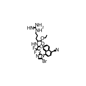 CCOC(=O)C(CCCNC(=N)N)NC(=O)C(F)(F)Sc1ncc(Br)n1-c1ccc(C#N)c2ccccc12